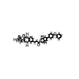 C[C@@]1(OP(=O)(O)O)CNc2cc(/C=C/C(=O)N3C[C@H]4CC(c5ccc(Oc6ccccc6)cc5)=C[C@H]4C3)cnc2NC1=O